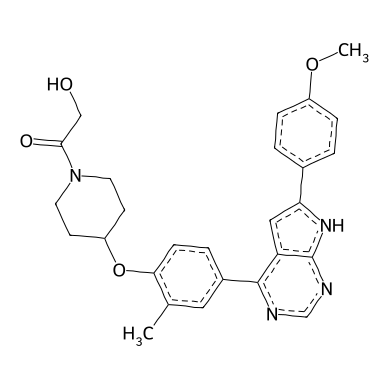 COc1ccc(-c2cc3c(-c4ccc(OC5CCN(C(=O)CO)CC5)c(C)c4)ncnc3[nH]2)cc1